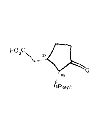 CCCCC[C@H]1C(=O)CC[C@H]1CC(=O)O